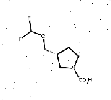 O=C(O)N1CC[C@@H](COC(F)F)C1